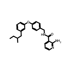 CCC(C)Cc1cccc(Oc2ccc(CNC(=O)c3cccnc3N)cc2)c1